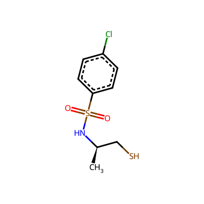 C[C@H](CS)NS(=O)(=O)c1ccc(Cl)cc1